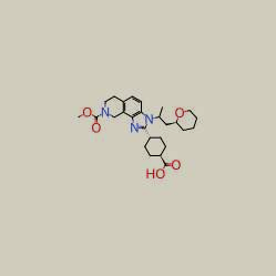 COC(=O)N1CCc2ccc3c(nc([C@H]4CC[C@H](C(=O)O)CC4)n3C(C)C[C@@H]3CCCCO3)c2C1